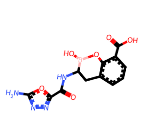 Nc1nnc(C(=O)NC2Cc3cccc(C(=O)O)c3OB2O)o1